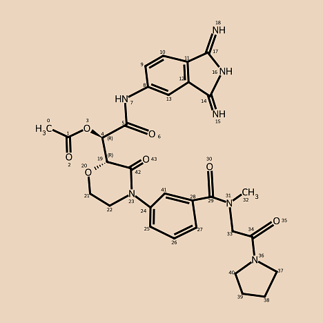 CC(=O)O[C@@H](C(=O)Nc1ccc2c(c1)C(=N)NC2=N)[C@H]1OCCN(c2cccc(C(=O)N(C)CC(=O)N3CCCC3)c2)C1=O